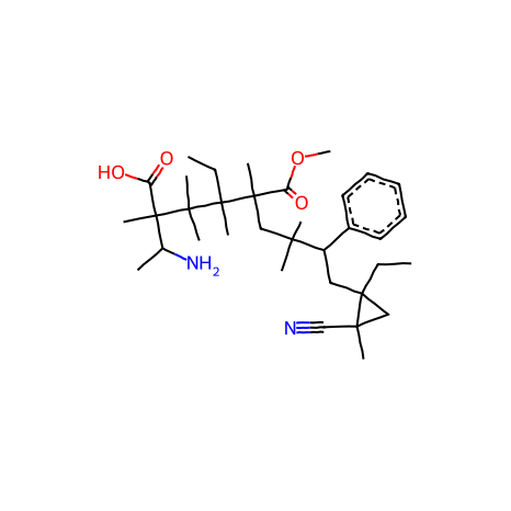 CCC1(CC(c2ccccc2)C(C)(C)CC(C)(C(=O)OC)C(C)(CC)C(C)(C)C(C)(C(=O)O)C(C)N)CC1(C)C#N